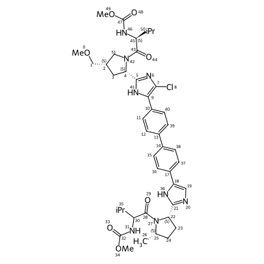 COC[C@H]1C[C@@H](c2nc(Cl)c(-c3ccc(-c4ccc(-c5cnc([C@@H]6CC[C@H](C)N6C(=O)C(NC(=O)OC)C(C)C)[nH]5)cc4)cc3)[nH]2)N(C(=O)[C@@H](NC(=O)OC)C(C)C)C1